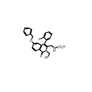 CC(C)Cn1c(CNC(=O)O)c(-c2ccccc2F)c2cc(OCc3ccccc3)ccc2c1=O